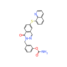 NC(=O)Oc1cccc(Cn2ncc3cc(Sc4cccc5cccnc45)ccc3c2=O)c1